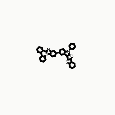 c1ccc(-n2c3ccc(-c4ccc5c(c4)nc4c6ccccc6c6ccccc6n54)cc3c3c4sc5ccccc5c4oc32)cc1